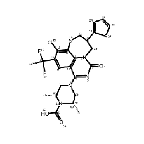 C[C@@H]1CN(c2nc(=O)n3c4c(c(Cl)c(C(F)(F)F)cc24)SCC(c2cccs2)C3)C[C@H](C)N1C(=O)O